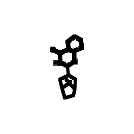 CN1C2CCC1CC(c1nc3ccccc3c(=O)[nH]1)C2